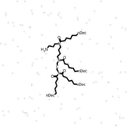 CCCCCCCCCCCCCCCC(=O)N(CCCN)CCCCN(CCCN(C(=O)CCCCCCCCCCCCCCC)C(=O)CCCCCCCCCCCCCCC)C(=O)CCCCCCCCCCCCCCC